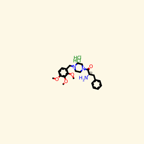 COc1ccc(CN2CCN(C(=O)[C@@H](N)Cc3ccccc3)CC2)c(OC)c1OC.Cl.Cl